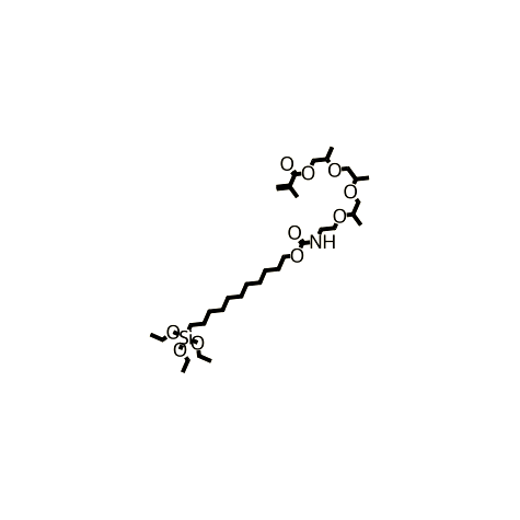 C=C(C)C(=O)OCC(C)OCC(C)OCC(C)OCCNC(=O)OCCCCCCCCCCC[Si](OCC)(OCC)OCC